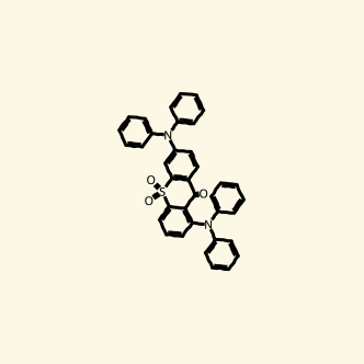 O=C1c2ccc(N(c3ccccc3)c3ccccc3)cc2S(=O)(=O)c2cccc(N(c3ccccc3)c3ccccc3)c21